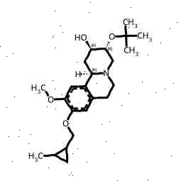 COc1cc2c(cc1OCC1CC1C)CCN1C[C@@H](OC(C)(C)C)[C@H](O)C[C@H]21